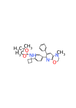 CN1CCOc2nc(-c3ccc(C4(NC(=O)OC(C)(C)C)CCC4)cc3)c(-c3ccccc3)cc21